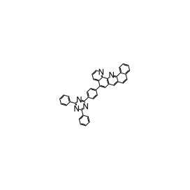 c1ccc(-c2nc(-c3ccccc3)nc(-c3ccc(-c4cc5cc6ccc7ccccc7c6nc5c5ncccc45)cc3)n2)cc1